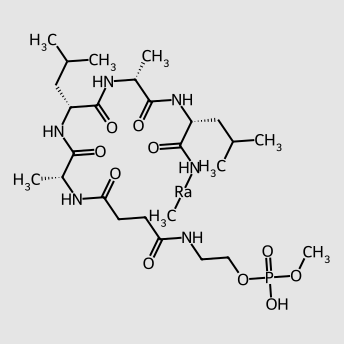 COP(=O)(O)OCCNC(=O)CCC(=O)N[C@H](C)C(=O)N[C@H](CC(C)C)C(=O)N[C@H](C)C(=O)N[C@H](CC(C)C)C(=O)[NH][Ra][CH3]